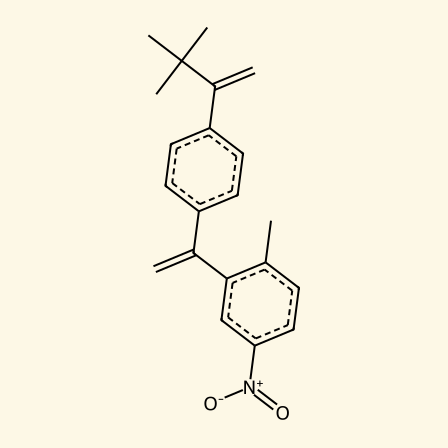 C=C(c1ccc(C(=C)C(C)(C)C)cc1)c1cc([N+](=O)[O-])ccc1C